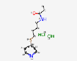 CCC(=O)NCCCCSc1ccncc1.Cl.Cl